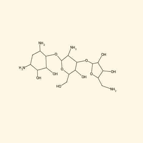 NCC1OC(OC2C(N)C(OC3C(N)CC(N)C(O)C3O)OC(CO)C2O)C(O)C1O